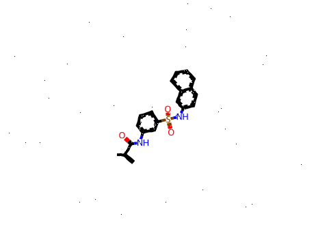 C=C(C)C(=O)Nc1cccc(S(=O)(=O)Nc2ccc3ccccc3c2)c1